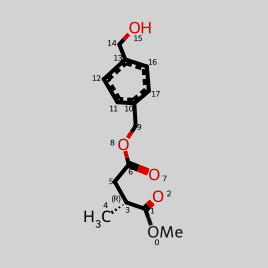 COC(=O)[C@H](C)CC(=O)OCc1ccc(CO)cc1